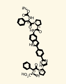 CC(C)OC(=O)N[C@@H](C(=O)N1CCC[C@H]1C(=O)Nc1ccc2[nH]c(-c3ccc(-c4ncc([C@@H]5CCCN5C(=O)[C@@H](c5ccccc5)N(C(=O)O)C(C)C)[nH]4)cc3)cc2c1)c1ccccc1